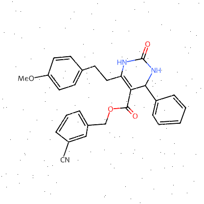 COc1ccc(CCC2=C(C(=O)OCc3cccc(C#N)c3)C(c3ccccc3)NC(=O)N2)cc1